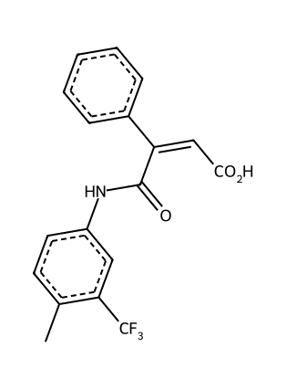 Cc1ccc(NC(=O)/C(=C\C(=O)O)c2ccccc2)cc1C(F)(F)F